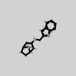 c1ccc2sc(COC3CC4CCC(C3)N4)cc2c1